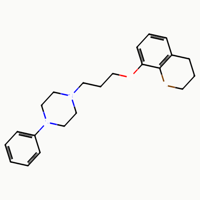 c1ccc(N2CCN(CCCOc3cccc4c3SCCC4)CC2)cc1